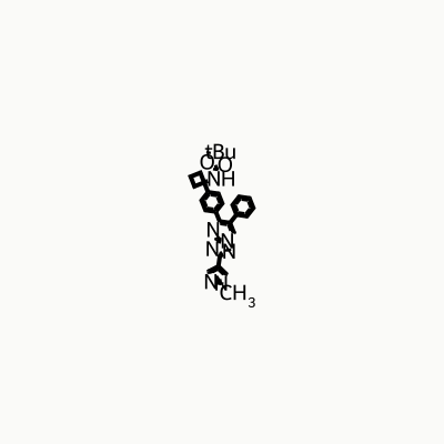 Cn1cc(-c2nc3nc(-c4ccc(C5(NC(=O)OC(C)(C)C)CCC5)cc4)c(-c4ccccc4)cn3n2)cn1